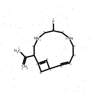 C=C(C)C1CNCC(F)CNCC/C=C/C2C=C1C2